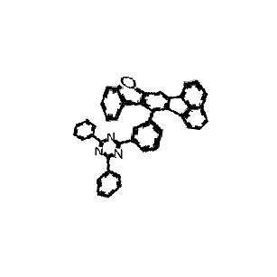 c1ccc(-c2nc(-c3ccccc3)nc(-c3cccc(-c4c5c(cc6oc7ccccc7c46)-c4cccc6cccc-5c46)c3)n2)cc1